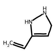 C=CC1=CCNN1